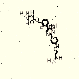 CNCCON=C1CCN(c2ncc(-c3cccc(COC(=O)NC(=N)N)c3F)cn2)CC1.Cl.Cl